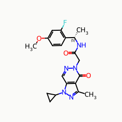 COc1ccc([C@H](C)NC(=O)Cn2ncc3c(c(C)nn3C3CC3)c2=O)c(F)c1